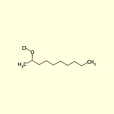 CCCCCCCCC(C)OCl